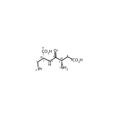 CC(C)C[C@@H](NC(=O)[C@H](N)CC(=O)O)C(=O)O